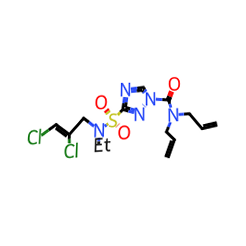 C=CCN(CC=C)C(=O)n1cnc(S(=O)(=O)N(CC)C/C(Cl)=C/Cl)n1